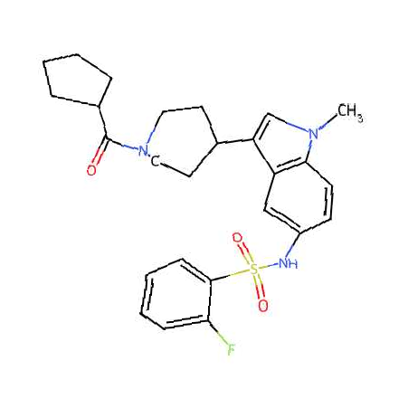 Cn1cc(C2CCN(C(=O)C3CCCC3)CC2)c2cc(NS(=O)(=O)c3ccccc3F)ccc21